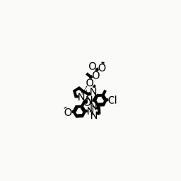 COC(=O)OC(C)OCn1c([C@]2(C)CCCN2C(=O)c2cc(OC)ccc2-n2nccn2)nc2ccc(Cl)c(C)c21